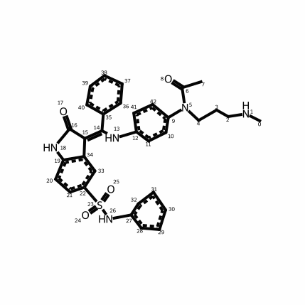 CNCCCN(C(C)=O)c1ccc(NC(=C2C(=O)Nc3ccc(S(=O)(=O)Nc4ccccc4)cc32)c2ccccc2)cc1